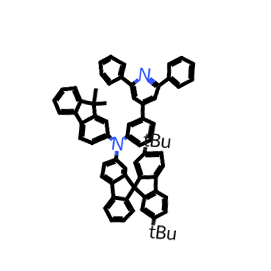 CC(C)(C)c1ccc2c(c1)C1(c3ccccc3-c3ccc(N(c4cccc(-c5cc(-c6ccccc6)nc(-c6ccccc6)c5)c4)c4ccc5c(c4)C(C)(C)c4ccccc4-5)cc31)c1cc(C(C)(C)C)ccc1-2